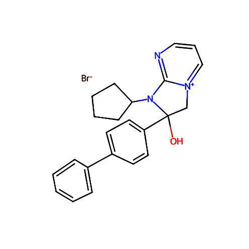 OC1(c2ccc(-c3ccccc3)cc2)C[n+]2cccnc2N1C1CCCC1.[Br-]